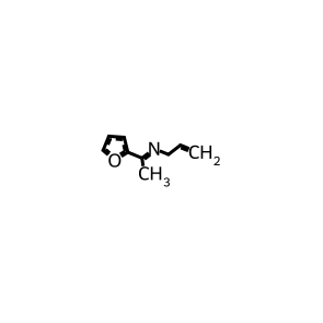 C=CCN=C(C)c1ccco1